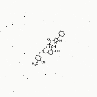 Cc1ccc(CN(CCCNC(=O)c2cc(-c3ccccc3)[nH]n2)Cc2ccc(O)c(O)c2)cc1O